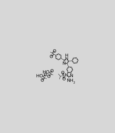 CC(C)S(=O)(=O)n1c(N)nc2ccc(-c3nc(-c4ccc(S(C)(=O)=O)cc4)[nH]c3-c3ccccc3)cc21.CS(=O)(=O)O.CS(=O)(=O)O